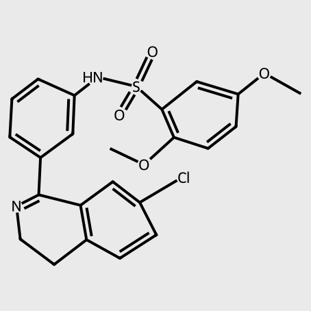 COc1ccc(OC)c(S(=O)(=O)Nc2cccc(C3=NCCc4ccc(Cl)cc43)c2)c1